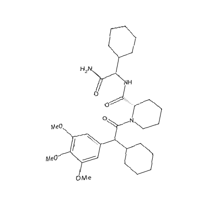 COc1cc(C(C(=O)N2CCCC[C@H]2C(=O)NC(C(N)=O)C2CCCCC2)C2CCCCC2)cc(OC)c1OC